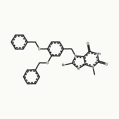 Cn1c(=O)[nH]c(=O)c2c1nc(Br)n2Cc1ccc(OCc2ccccc2)c(OCc2ccccc2)c1